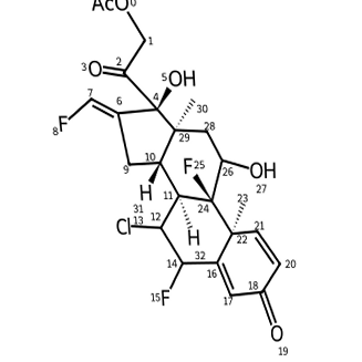 CC(=O)OCC(=O)[C@@]1(O)C(=CF)C[C@H]2[C@@H]3C(Cl)C(F)C4=CC(=O)C=C[C@]4(C)[C@@]3(F)C(O)C[C@@]21C